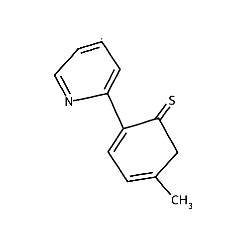 CC1=CC=C(c2c[c]ccn2)C(=S)C1